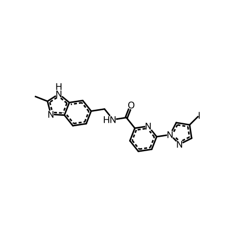 Cc1nc2ccc(CNC(=O)c3cccc(-n4cc(I)cn4)n3)cc2[nH]1